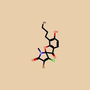 CC(C)CCCc1c(O)ccc2c1OC1(C2=O)C(Cl)=C(Br)C(=O)N1C